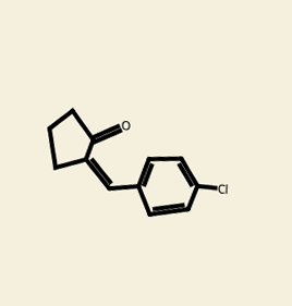 O=C1CCCC1=Cc1ccc(Cl)cc1